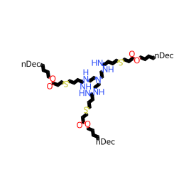 CCCCCCCCCCCCCCOC(=O)CCSCCCC(=N)NCCN(CCNC(=N)CCCSCCC(=O)OCCCCCCCCCCCCCC)CCNC(=N)CCCSCCC(=O)OCCCCCCCCCCCCCC